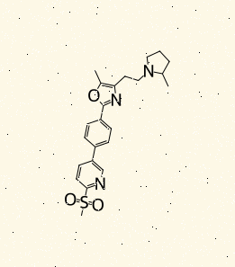 Cc1oc(-c2ccc(-c3ccc(S(C)(=O)=O)nc3)cc2)nc1CCN1CCCC1C